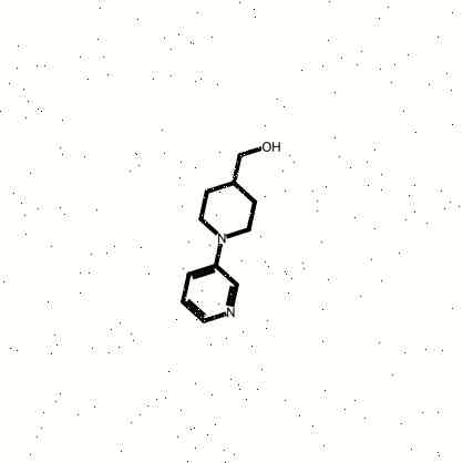 OCC1CCN(c2cccnc2)CC1